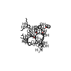 CCCCNc1ccc(NC(=O)NC(=O)C[C@@H]2CC(=O)[C@H](NC(=O)[C@H](CC)CC(C)C)[C@H](O)c3ccc(c(Cl)c3)Oc3cc4cc(c3O[C@@H]3O[C@H](CN)[C@@H](O)[C@H](O)[C@H]3O)Oc3ccc(cc3Cl)[C@@H](O)[C@@H]3NC(=O)[C@H](CC(=O)[C@@H]4NC2=O)c2ccc(O)c(c2)-c2c(O)cc(O)cc2[C@@H](C(=O)CC2C4CC5CC(C4)CC2C5)NC3=O)cc1NCCCC